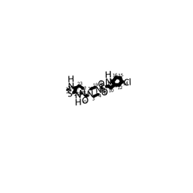 O=C(N1CCN(S(=O)(=O)c2cc3cc(Cl)ccc3[nH]2)CC1)N1CCC2=C(N1)SCN2